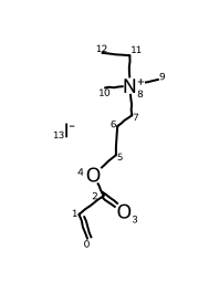 C=CC(=O)OCCC[N+](C)(C)CC.[I-]